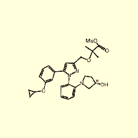 COC(=O)C(C)(C)OCc1cc(-c2cccc(OC3CC3)c2)n(-c2ccccc2N2CC[C@@H](O)C2)n1